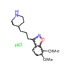 COc1ccc2c(CCCC3CCNCC3)noc2c1OC.Cl